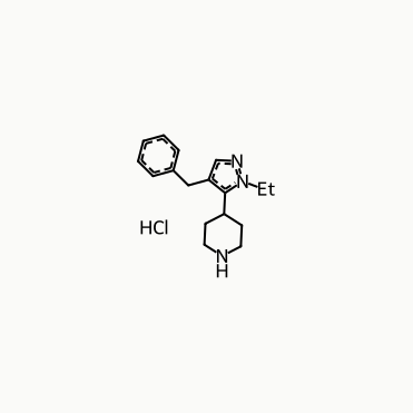 CCn1ncc(Cc2ccccc2)c1C1CCNCC1.Cl